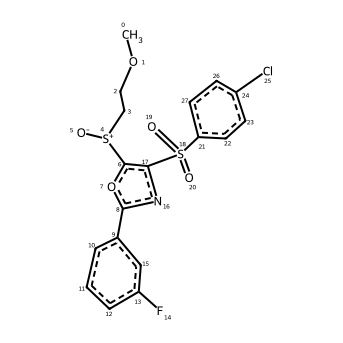 COCC[S+]([O-])c1oc(-c2cccc(F)c2)nc1S(=O)(=O)c1ccc(Cl)cc1